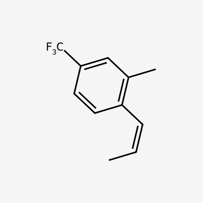 C/C=C\c1ccc(C(F)(F)F)cc1C